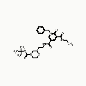 CCNC(=O)c1cc(C(=O)NCC[C@@H]2CN(C(=O)OC(C)(C)C)CCO2)cn(Cc2ccccc2)c1=O